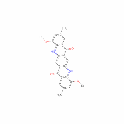 CCOc1cc(C)cc2c(=O)c3cc4[nH]c5c(OCC)cc(C)cc5c(=O)c4cc3[nH]c12